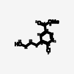 COC(=O)c1cnc(Cl)c(CCCO)c1